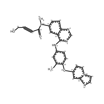 Cc1cc(Nc2ncnc3ccc(N(C)C(=O)C#CCO)cc23)ccc1Oc1ccn2ccnc2c1